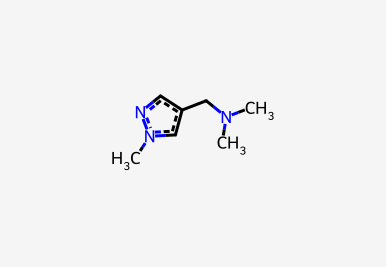 CN(C)Cc1cnn(C)c1